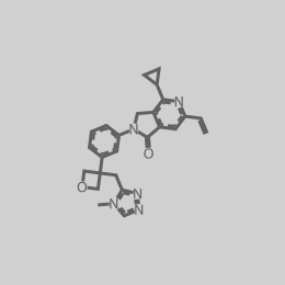 C=Cc1cc2c(c(C3CC3)n1)CN(c1cccc(C3(Cc4nncn4C)COC3)c1)C2=O